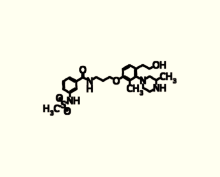 Cc1c(OCCCNC(=O)c2cccc(NS(C)(=O)=O)c2)ccc(CCO)c1N1CCNC(C)C1